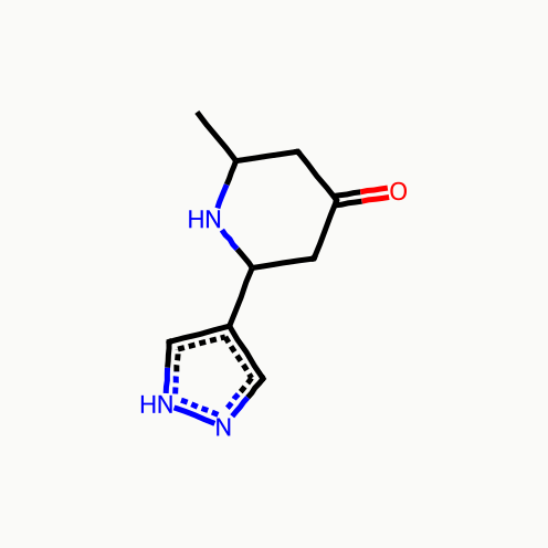 CC1CC(=O)CC(c2cn[nH]c2)N1